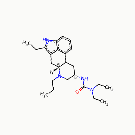 CCCN1C[C@@H](NC(=O)N(CC)CC)CC2c3cccc4[nH]c(CC)c(c34)C[C@H]21